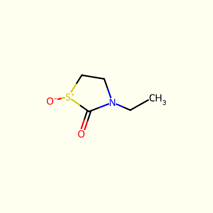 CCN1CC[S+]([O-])C1=O